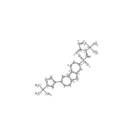 CC(C)(C)c1nc(-c2ccc3oc4cc(S(=O)(=O)N[C@@H](C(=O)O)C(C)(C)C)ccc4c3c2)no1